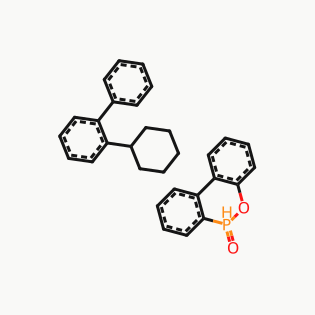 O=[PH]1Oc2ccccc2-c2ccccc21.c1ccc(-c2ccccc2C2CCCCC2)cc1